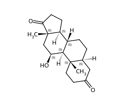 C[C@]12CCC(=O)C[C@@H]1CC[C@@H]1[C@@H]2[C@@H](O)C[C@]2(C)C(=O)CC[C@@H]12